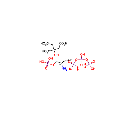 N[C@@H](COP(=O)(O)O)C(=O)O.O=C(O)CC(O)(CC(=O)O)C(=O)O.O=P(O)(O)OP(=O)(O)OP(=O)(O)O